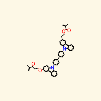 C=C(C)C(=O)CCOc1ccc2c(c1)c1ccccc1n2-c1ccc(-c2ccc(-n3c4ccccc4c4cc(CCOC(=O)C(=C)C)ccc43)cc2)cc1